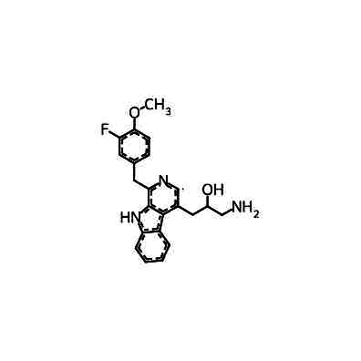 COc1ccc(Cc2n[c]c(CC(O)CN)c3c2[nH]c2ccccc23)cc1F